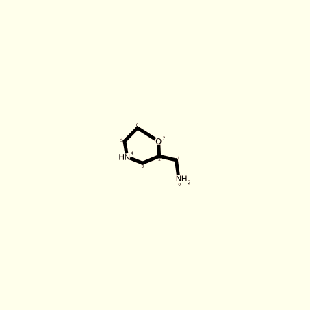 NC[C]1CNCCO1